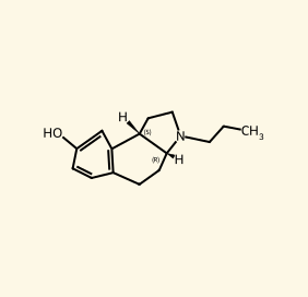 CCCN1CC[C@H]2c3cc(O)ccc3CC[C@H]21